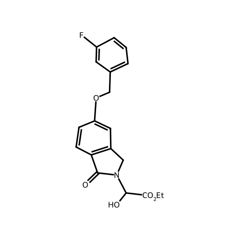 CCOC(=O)C(O)N1Cc2cc(OCc3cccc(F)c3)ccc2C1=O